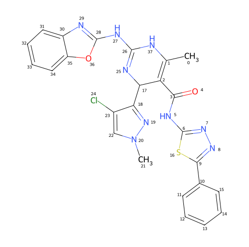 CC1=C(C(=O)Nc2nnc(-c3ccccc3)s2)C(c2nn(C)cc2Cl)N=C(Nc2nc3ccccc3o2)N1